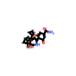 NC(=O)C1=CC(=O)c2c3c(oc2=C1)=C1CC2C[C@H](C2CC2CCC2)[C@@]1(O)CN3